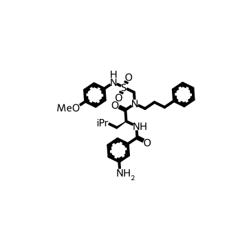 COc1ccc(NS(=O)(=O)CN(CCCc2ccccc2)C(=O)[C@H](CC(C)C)NC(=O)c2cccc(N)c2)cc1